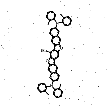 Cc1ccccc1N(c1ccc2cc3c(cc2c1)oc1c(C(C)(C)C)c2c(cc13)oc1cc3cc(N(c4ccccc4C)c4ccccc4C)ccc3cc12)c1ccccc1C